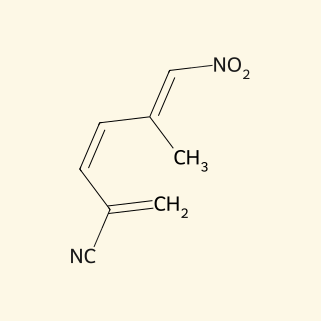 C=C(C#N)/C=C\C(C)=C\[N+](=O)[O-]